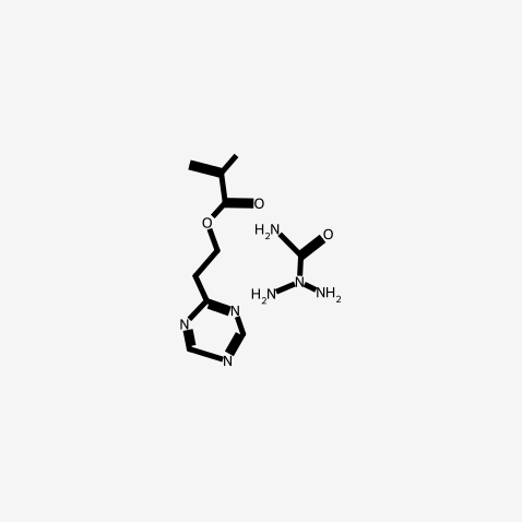 C=C(C)C(=O)OCCc1ncncn1.NC(=O)N(N)N